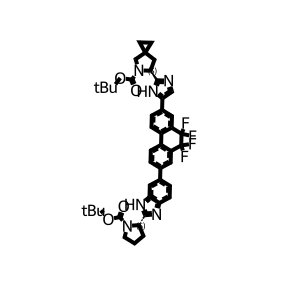 CC(C)(C)OC(=O)N1CC2(CC2)C[C@H]1c1ncc(-c2ccc3c(c2)C(F)(F)C(F)(F)c2cc(-c4ccc5nc([C@@H]6CCCN6C(=O)OC(C)(C)C)[nH]c5c4)ccc2-3)[nH]1